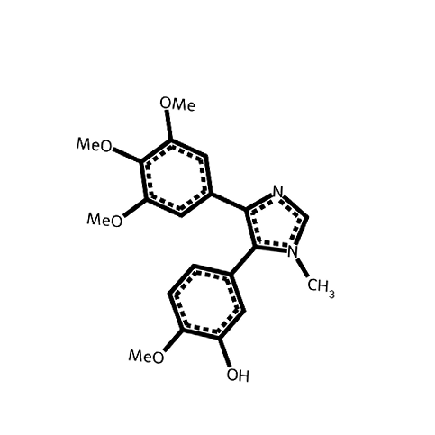 COc1ccc(-c2c(-c3cc(OC)c(OC)c(OC)c3)ncn2C)cc1O